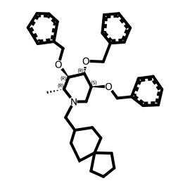 C[C@@H]1[C@@H](OCc2ccccc2)[C@H](OCc2ccccc2)[C@@H](OCc2ccccc2)CN1CC1CCC2(CCCC2)CC1